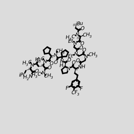 CC[C@H](C)CC(=O)N(C)[C@@H](C)C(=O)N(CC)CC(=O)N(CC)CC(=O)N(C)CC(=O)N[C@@H](CCc1cc(F)c(C(F)(F)F)c(F)c1)C(=O)N1CCC[C@H]1C(=O)NC1(C(=O)N(C)[C@H](C(=O)N(C)[C@@H](CC(=O)N(C)[C@@H](CC(C)C)C(N)=O)C(=O)N(C)C)C2CCCC2)CCCC1